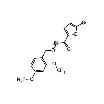 COc1ccc(CONC(=O)c2ccc(Br)o2)c(OC)c1